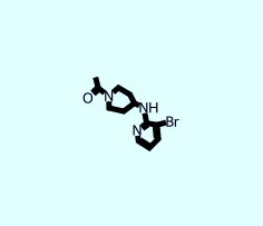 CC(=O)N1CCC(Nc2ncccc2Br)CC1